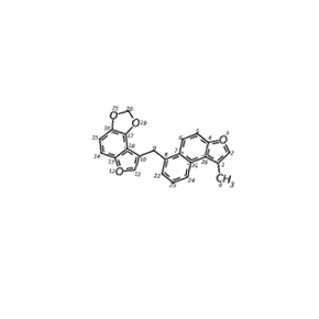 Cc1coc2ccc3c(Cc4coc5ccc6c(c45)OCO6)cccc3c12